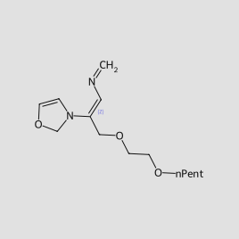 C=N/C=C(/COCCOCCCCC)N1C=COC1